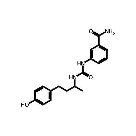 CC(CCc1ccc(O)cc1)NC(=O)Nc1cccc(C(N)=O)c1